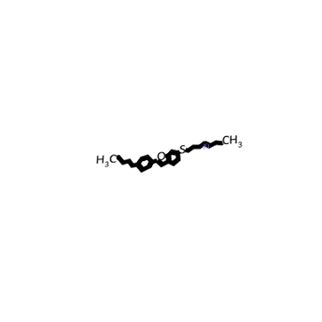 CCC/C=C/CCCSc1ccc2cc(-c3ccc(CCCCC)cc3)oc2c1